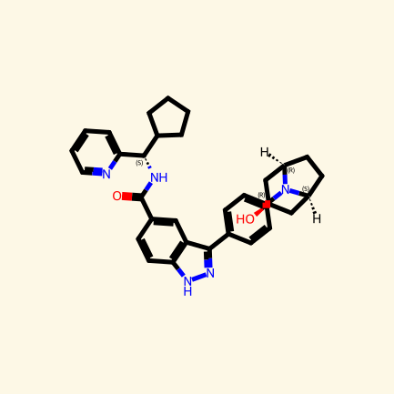 O=C(N[C@H](c1ccccn1)C1CCCC1)c1ccc2[nH]nc(-c3ccc(N4[C@@H]5CC[C@H]4C[C@@H](O)C5)cc3)c2c1